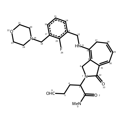 CNC(=O)C(CCC=O)N1CC2=C(NCc3cccc(CN4CCOCC4)c3F)CC=CC=C2C1=O